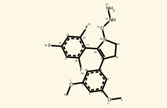 COc1cc(OC)cc(C2=C(c3c(F)cc(F)cc3F)N(ONN)CC2)c1